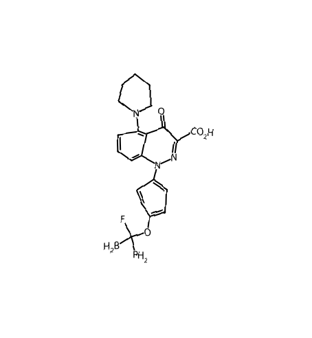 BC(F)(P)Oc1ccc(-n2nc(C(=O)O)c(=O)c3c(N4CCCCC4)cccc32)cc1